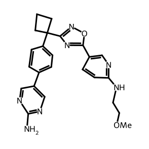 COCCNc1ccc(-c2nc(C3(c4ccc(-c5cnc(N)nc5)cc4)CCC3)no2)cn1